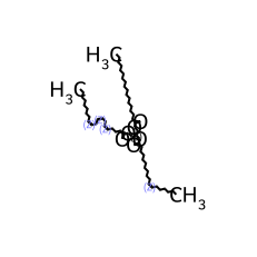 CCCCCC/C=C\CCCCCCCCCC(=O)O[C@H](COC(=O)CCC/C=C\C/C=C\C/C=C\CCCCCCCC)COC(=O)CCCCCCCCCCCCCCCCC